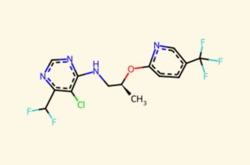 C[C@@H](CNc1ncnc(C(F)F)c1Cl)Oc1ccc(C(F)(F)F)cn1